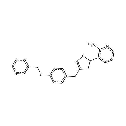 Nc1ncccc1C1CC(Cc2ccc(OCc3cccnc3)cc2)=NO1